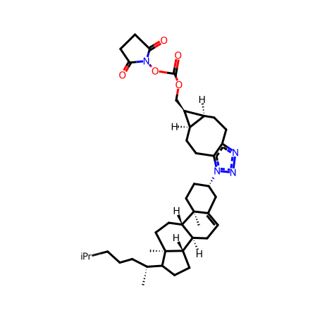 CC(C)CCC[C@@H](C)C1CC[C@H]2[C@@H]3CC=C4C[C@@H](n5nnc6c5CC[C@@H]5[C@H](CC6)[C@@H]5COC(=O)ON5C(=O)CCC5=O)CC[C@]4(C)[C@H]3CC[C@]12C